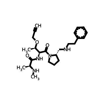 C#CCO[C@H](C)[C@H](NC(=O)[C@H](C)NC)C(=O)N1CCC[C@H]1CNCCc1ccccc1